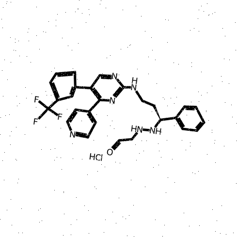 Cl.O=CCNN[C@@H](CCNc1ncc(-c2cccc(C(F)(F)F)c2)c(-c2ccncc2)n1)c1ccccc1